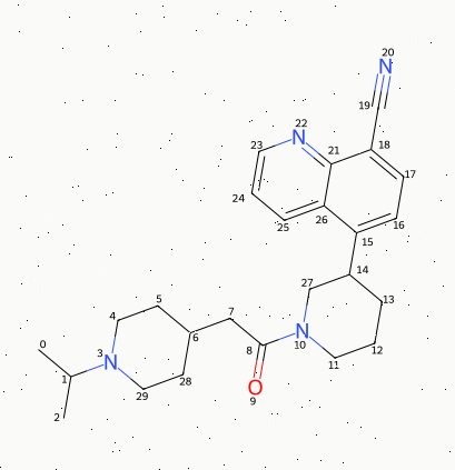 CC(C)N1CCC(CC(=O)N2CCCC(c3ccc(C#N)c4ncccc34)C2)CC1